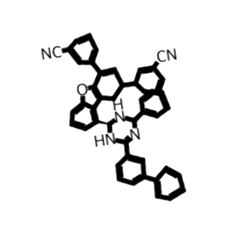 N#CC1=CC(C2C=C(c3cccc(C#N)c3)c3oc4cccc([C@@H]5NC(c6cccc(-c7ccccc7)c6)=NC(c6ccccc6)N5)c4c3C2)CC=C1